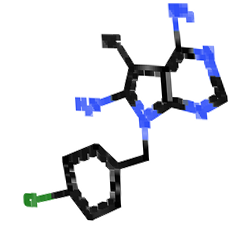 N#Cc1c(N)n(Cc2ccc(Cl)cc2)c2ncnc(N)c12